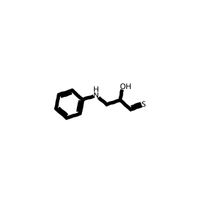 OC([C]=S)CNc1ccccc1